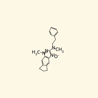 CN(CCc1ccccc1)c1n[n+](C)c2cc3c(cc2[n+]1[O-])CCC3